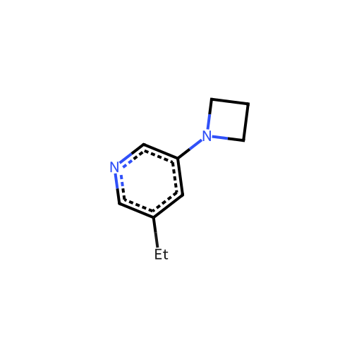 CCc1cncc(N2CCC2)c1